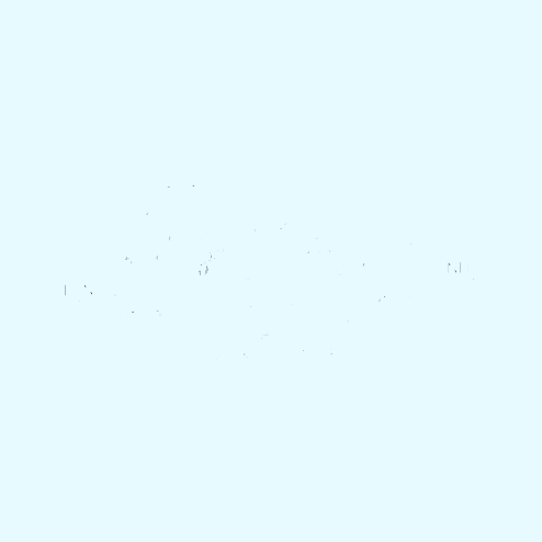 Nc1ccc(C(=O)c2ccccc2-c2cccc(C(=O)c3ccccc3)c2-c2ccccc2C(=O)c2ccc(N)cc2)cc1